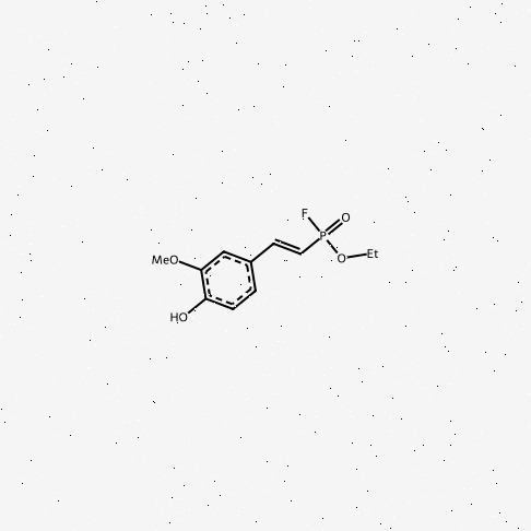 CCOP(=O)(F)/C=C/c1ccc(O)c(OC)c1